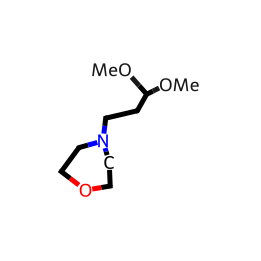 COC(CCN1CCOCC1)OC